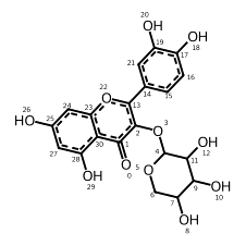 O=c1c(OC2OCC(O)C(O)C2O)c(-c2ccc(O)c(O)c2)oc2cc(O)cc(O)c12